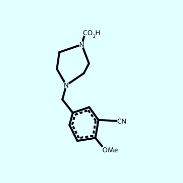 COc1ccc(CN2CCN(C(=O)O)CC2)cc1C#N